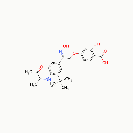 CC(=O)C(C)Nc1ccc(C(COc2ccc(C(=O)O)c(O)c2)=NO)cc1C(C)(C)C